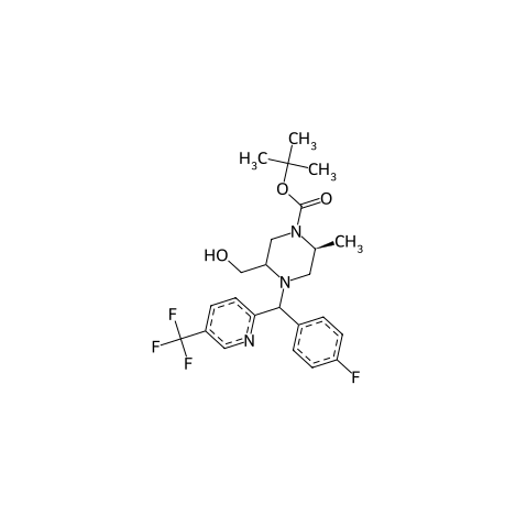 C[C@H]1CN(C(c2ccc(F)cc2)c2ccc(C(F)(F)F)cn2)C(CO)CN1C(=O)OC(C)(C)C